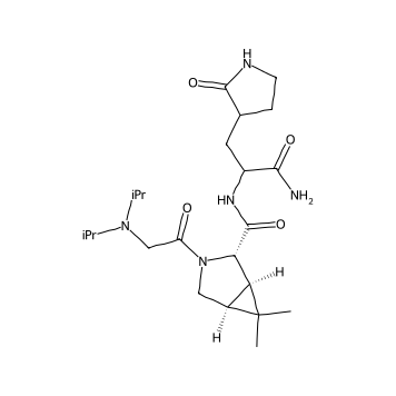 CC(C)N(CC(=O)N1C[C@H]2[C@@H]([C@H]1C(=O)NC(CC1CCNC1=O)C(N)=O)C2(C)C)C(C)C